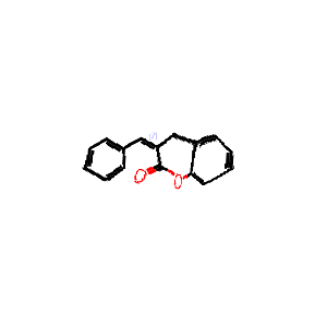 O=C1Oc2ccccc2C/C1=C/c1ccccc1